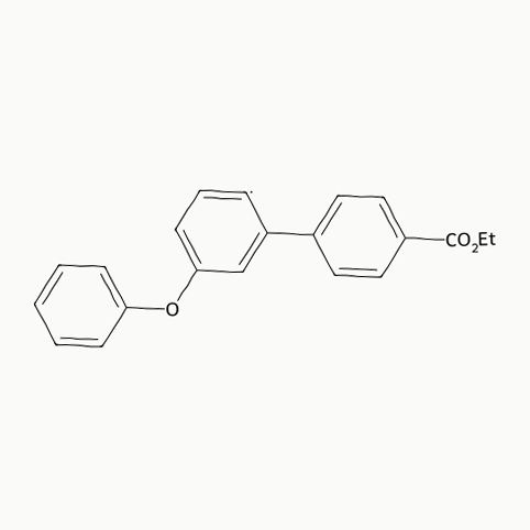 CCOC(=O)c1ccc(-c2[c]ccc(Oc3ccccc3)c2)cc1